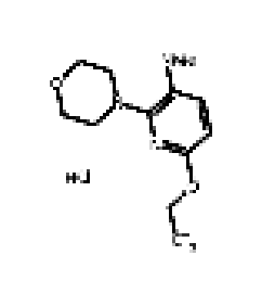 CNc1ccc(OCC(F)(F)F)nc1N1CCOCC1.Cl